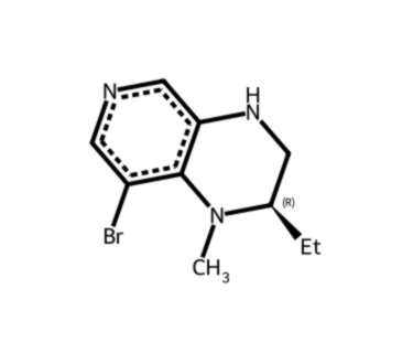 CC[C@@H]1CNc2cncc(Br)c2N1C